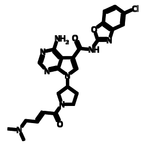 CN(C)CC=CC(=O)N1CCC(n2cc(C(=O)Nc3nc4cc(Cl)ccc4o3)c3c(N)ncnc32)C1